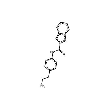 NCCc1ccc(NC(=O)n2cc3ccccc3c2)cc1